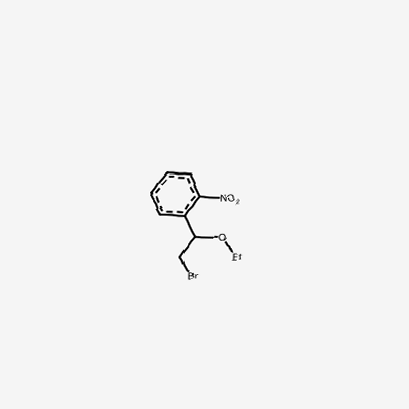 CCOC(CBr)c1ccccc1[N+](=O)[O-]